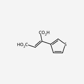 O=C(O)C=C(C(=O)O)c1ccsc1